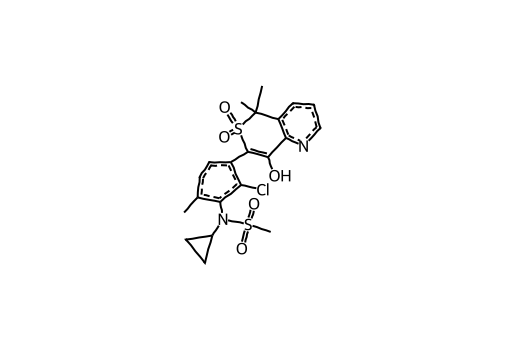 Cc1ccc(C2=C(O)c3ncccc3C(C)(C)S2(=O)=O)c(Cl)c1N(C1CC1)S(C)(=O)=O